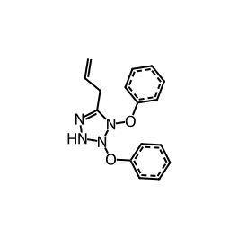 C=CCC1=NNN(Oc2ccccc2)N1Oc1ccccc1